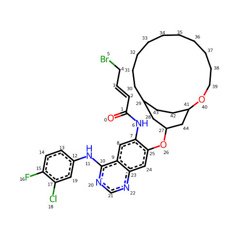 O=C(/C=C/CBr)Nc1cc2c(Nc3ccc(F)c(Cl)c3)ncnc2cc1OC1CC2CCCCCCCCCCOC(CC2)C1